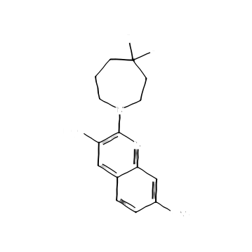 COc1ccc2cc(C(=O)O)c(N3CCCC(F)(F)CC3)nc2c1